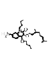 CCCCOc1c(OC/C=C(\C)CCC=C(C)C)c(=O)n(CCCC)c2cc(N)ccc12